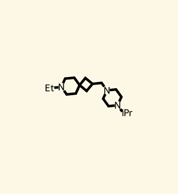 CCN1CCC2(CC1)CC(CN1CCN(C(C)C)CC1)C2